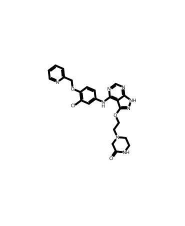 O=C1CN(CCOc2n[nH]c3ncnc(Nc4ccc(OCc5ccccn5)c(Cl)c4)c23)CCN1